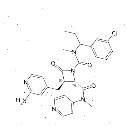 CCC(c1cccc(Cl)c1)N(C)C(=O)N1C(=O)[C@H](Cc2ccnc(N)c2)[C@H]1C(=O)N(C)c1ccncc1